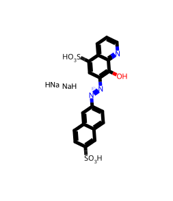 O=S(=O)(O)c1ccc2cc(/N=N/c3cc(S(=O)(=O)O)c4cccnc4c3O)ccc2c1.[NaH].[NaH]